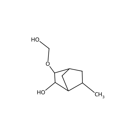 CC1CC2CC1C(O)C2OCO